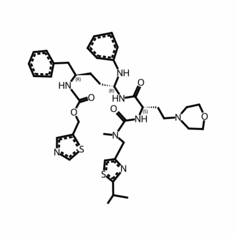 CC(C)c1nc(CN(C)C(=O)N[C@@H](CCN2CCOCC2)C(=O)N[C@H](CC[C@H](Cc2ccccc2)NC(=O)OCc2cncs2)Nc2ccccc2)cs1